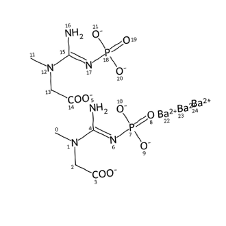 CN(CC(=O)[O-])C(N)=NP(=O)([O-])[O-].CN(CC(=O)[O-])C(N)=NP(=O)([O-])[O-].[Ba+2].[Ba+2].[Ba+2]